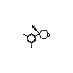 Cc1cc(C)cc(C2(C#N)CCOCC2)c1